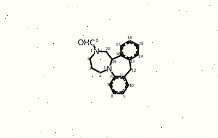 O=CN1CCCN2c3ccccc3Cc3ccccc3C2C1